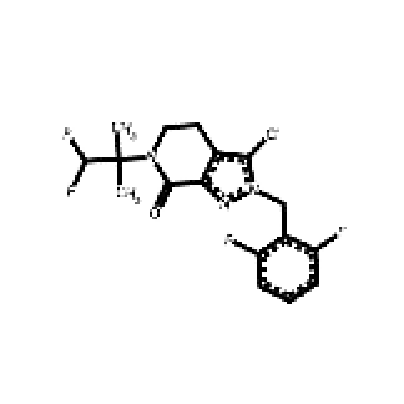 CC(C)(C(F)F)N1CCc2c(nn(Cc3c(F)cccc3F)c2Cl)C1=O